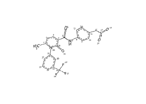 Cc1ccc(C(=O)Nc2ccc(C[SH](=O)=O)cc2)c(=O)n1-c1cccc(C(F)(F)F)c1